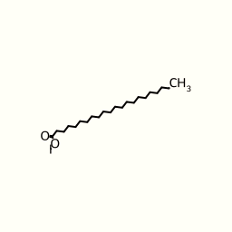 CCCCCCCCCCCCCCCCCCCCCC(=O)OI